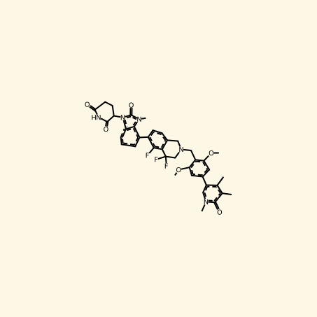 COc1cc(-c2cn(C)c(=O)c(C)c2C)cc(OC)c1CN1Cc2ccc(-c3cccc4c3n(C)c(=O)n4C3CCC(=O)NC3=O)c(F)c2C(F)(F)C1